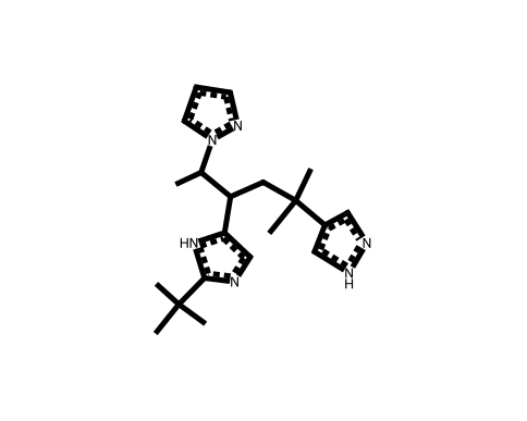 CC(C(CC(C)(C)c1cn[nH]c1)c1cnc(C(C)(C)C)[nH]1)n1cccn1